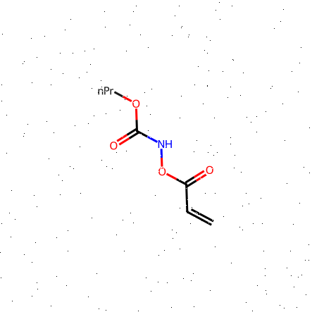 C=CC(=O)ONC(=O)OCCC